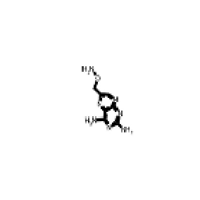 NOCc1cnc2nc(N)nc(N)c2n1